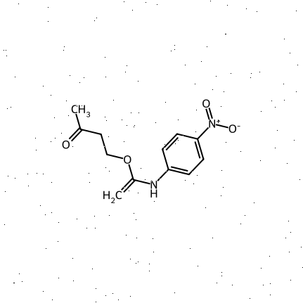 C=C(Nc1ccc([N+](=O)[O-])cc1)OCCC(C)=O